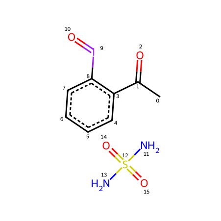 CC(=O)c1ccccc1I=O.NS(N)(=O)=O